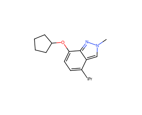 CC(C)c1ccc(OC2CCCC2)c2nn(C)cc12